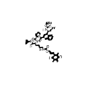 CC1=C(C)C(=O)C(CCCOC(=O)NCCCC[C@H](NC(=O)[C@@H]2CCCN2C(=O)[C@H](/C=C/[C@H](CC(C)C)NC(=O)OC(C)(C)C)Cc2ccccc2)C(=O)NC2CC2)=C(C)C1=O